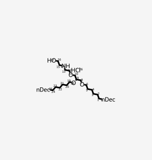 CCCCCCCCCCCCCCCCOCC(COCCNCCO)OCCCCCCCCCCCCCCCC.Cl